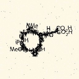 CNC(=O)C[C@@H]1NC(=O)c2csc(n2)-c2ccc(-c3nc(NC(=O)CC[C@H](CC(=O)O)C(=O)O)cs3)nc2-c2csc(n2)-c2csc(n2)[C@H]([C@@H](O)c2ccccc2)NC(=O)CNC(=O)c2nc(sc2COC)C(C(C)C)NC(=O)c2nc1sc2C